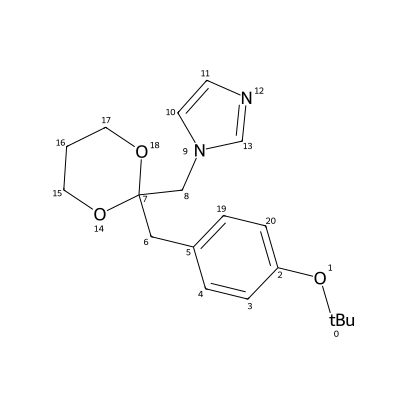 CC(C)(C)Oc1ccc(CC2(Cn3ccnc3)OCCCO2)cc1